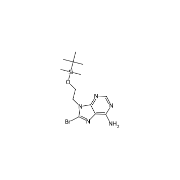 CC(C)(C)[Si](C)(C)OCCn1c(Br)nc2c(N)ncnc21